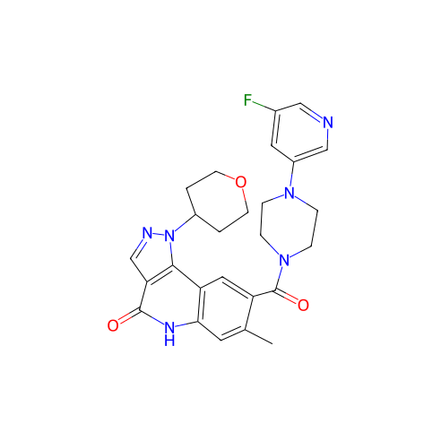 Cc1cc2[nH]c(=O)c3cnn(C4CCOCC4)c3c2cc1C(=O)N1CCN(c2cncc(F)c2)CC1